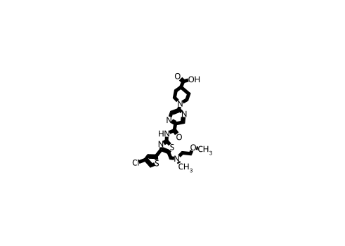 COCCN(C)Cc1sc(NC(=O)c2cnc(N3CCC(C(=O)O)CC3)cn2)nc1-c1cc(Cl)cs1